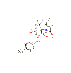 CC(C)(O)[C@@]1(C(=O)OCc2ccc([N+](=O)[O-])cc2)N2C(=O)C[C@H]2SC1(C)C